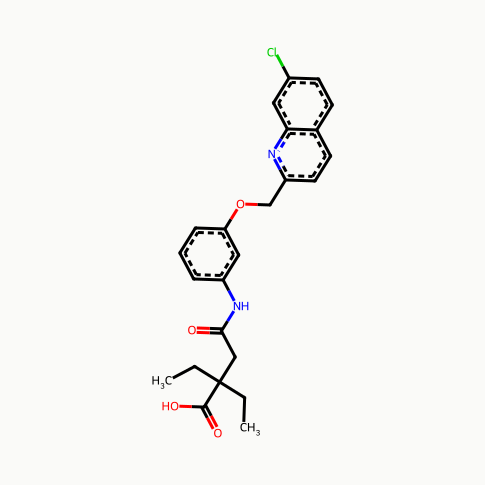 CCC(CC)(CC(=O)Nc1cccc(OCc2ccc3ccc(Cl)cc3n2)c1)C(=O)O